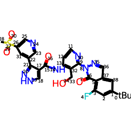 CC(C)(C)c1cc(F)c2c(=O)n(-c3nccc(NC(=O)c4c[nH]nc4-c4cncc(S(C)(=O)=O)c4)c3CO)ncc2c1